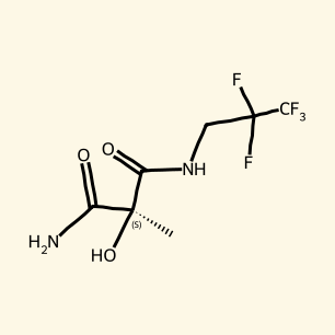 C[C@](O)(C(N)=O)C(=O)NCC(F)(F)C(F)(F)F